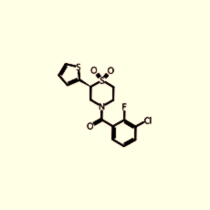 O=C(c1cccc(Cl)c1F)N1CCS(=O)(=O)[C@H](c2cccs2)C1